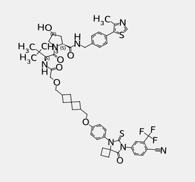 Cc1ncsc1-c1ccc(CNC(=O)[C@@H]2C[C@@H](O)CN2C(=O)[C@@H](NC(=O)COCC2CC3(C2)CC(COc2ccc(N4C(=S)N(c5ccc(C#N)c(C(F)(F)F)c5)C(=O)C45CCC5)cc2)C3)C(C)(C)C)cc1